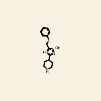 Cl.c1ccc(OCc2nnc(C3CCNCC3)[nH]2)cc1